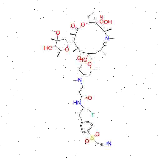 CC[C@H]1OC(=O)[C@H](C)C([C@H]2C[C@@](C)(OC)[C@@H](O)[C@H](C)O2)[C@H](C)[C@@H](O[C@H]2C[C@@H](N(C)CCC(=O)N[C@H](CF)Cc3ccc(S(=O)(=O)CC#N)cc3)C[C@@H](C)O2)[C@](C)(O)C[C@@H](C)CN(C)[C@H](C)[C@@H](O)[C@]1(C)O